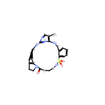 O=C1CCCNS(=O)(=O)c2ccccc2CNc2nc(ncc2C(F)(F)F)Nc2ccc3c(c2)CCN13